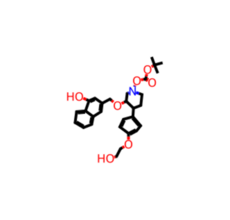 CC(C)(C)OC(=O)ON1CCC(c2ccc(OCCO)cc2)C(OCc2cc(O)c3ccccc3c2)C1